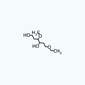 CCOCCC(O)C(CCO)OC